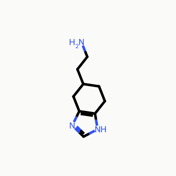 NCCC1CCc2[nH]cnc2C1